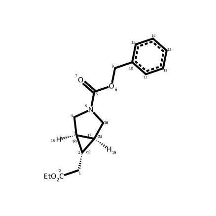 CCOC(=O)C[C@@H]1[C@H]2CN(C(=O)OCc3ccccc3)C[C@@H]12